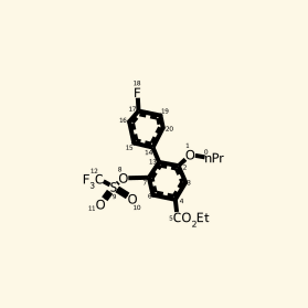 CCCOc1cc(C(=O)OCC)cc(OS(=O)(=O)C(F)(F)F)c1-c1ccc(F)cc1